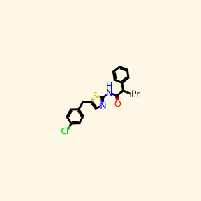 CC(C)C(C(=O)Nc1ncc(Cc2ccc(Cl)cc2)s1)c1ccccc1